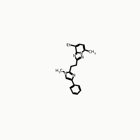 CCc1ccc(C)n2nc(CCc3nc(-c4ccccc4)cn3C)nc12